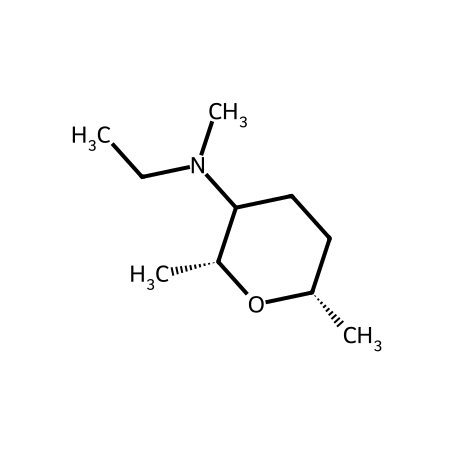 CCN(C)C1CC[C@H](C)O[C@@H]1C